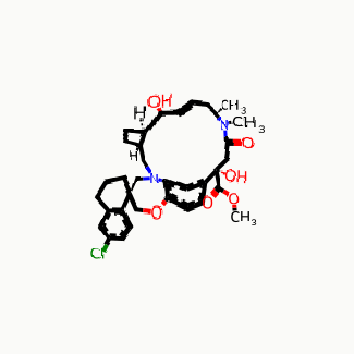 COC(=O)[C@]1(O)CC(=O)N(C)[C@@H](C)C/C=C/[C@H](O)[C@@H]2CC[C@H]2CN2C[C@@]3(CCCc4cc(Cl)ccc43)COc3ccc1cc32